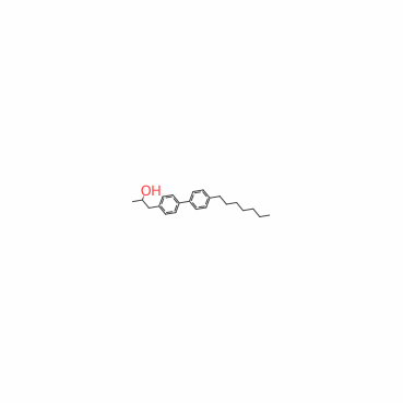 CCCCCCCc1ccc(-c2ccc(CC(C)O)cc2)cc1